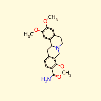 COc1cc2c(cc1OC)C1Cc3ccc(C(N)=O)c(OC)c3CN1CC2